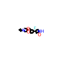 O=c1cc(-c2ccc3c(c2)COC2(CCN(C4CCC4)CC2)O3)c(F)c[nH]1